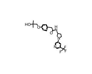 CC(C)(O)COc1ccc(CC(=O)NC2CCN(c3cncc(C(F)(F)F)c3)C2)cc1